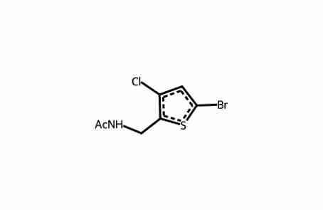 CC(=O)NCc1sc(Br)cc1Cl